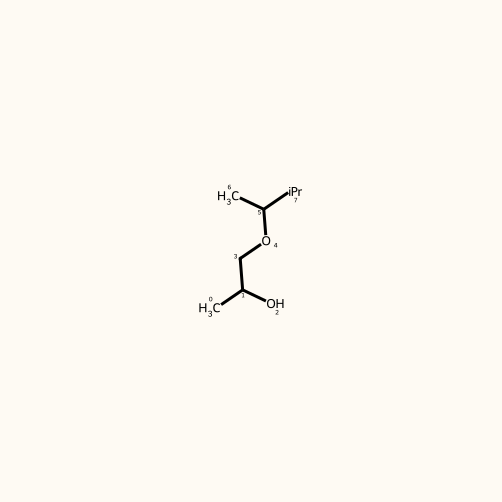 CC(O)COC(C)C(C)C